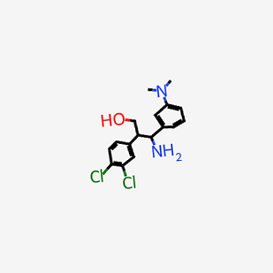 CN(C)c1cccc(C(N)C(CO)c2ccc(Cl)c(Cl)c2)c1